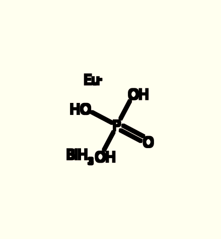 O=P(O)(O)O.[BiH3].[Eu]